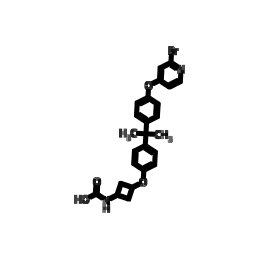 CC(C)(c1ccc(Oc2ccnc(Br)c2)cc1)c1ccc(OC2CC(NC(=O)O)C2)cc1